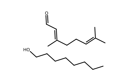 CC(C)=CCCC(C)=CC=O.CCCCCCCCO